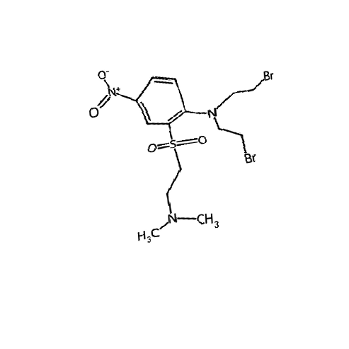 CN(C)CCS(=O)(=O)c1cc([N+](=O)[O-])ccc1N(CCBr)CCBr